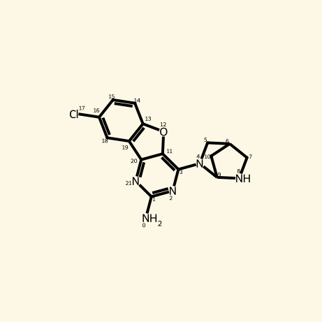 Nc1nc(N2CC3CNC2C3)c2oc3ccc(Cl)cc3c2n1